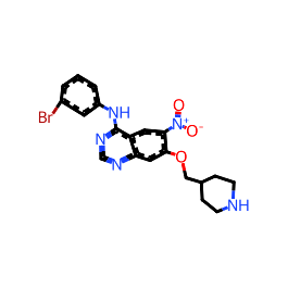 O=[N+]([O-])c1cc2c(Nc3cccc(Br)c3)ncnc2cc1OCC1CCNCC1